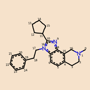 CN1CCc2ccc3c(nc(C4CCCC4)n3CCc3ccccc3)c2C1